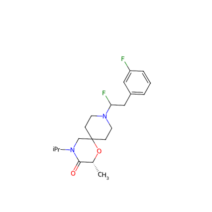 CC(C)N1CC2(CCN(C(F)Cc3cccc(F)c3)CC2)O[C@H](C)C1=O